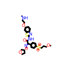 CNCCOc1ccc2nc(NC(=O)/C(=N/O[C@@H]3CCOC3)c3ccc(S(=O)(=O)CCCOC)cc3)sc2c1